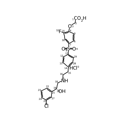 Cl.O=C(O)COc1ccc(S(=O)(=O)c2ccc(CCNC[C@H](O)c3cccc(Cl)c3)cc2)cc1F